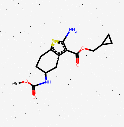 CC(C)(C)OC(=O)NC1CCc2sc(N)c(C(=O)OCC3CC3)c2C1